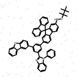 CC(C)(C)C(C)(C)OBc1ccc2c(c1)C1(c3ccccc3-c3ccccc31)c1cc(-c3cc(-c4ccc5oc6ccccc6c5c4)cc(-c4nc5ccccc5n4-c4ccccc4)c3)ccc1-2